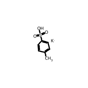 Cc1ccc(S(=O)(=O)O)cc1.[K]